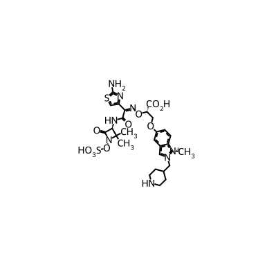 C[n+]1c2ccc(OC[C@H](O/N=C(\C(=O)N[C@@H]3C(=O)N(OS(=O)(=O)O)C3(C)C)c3csc(N)n3)C(=O)O)cc2cn1CC1CCNCC1